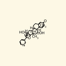 C[C@]12C=CC(=O)C=C1CC[C@@H]1[C@@H]2[C@@H](O)C[C@@]2(C)[C@H]1C[C@H]1OC(c3cccnc3)O[C@]12C(=O)CO